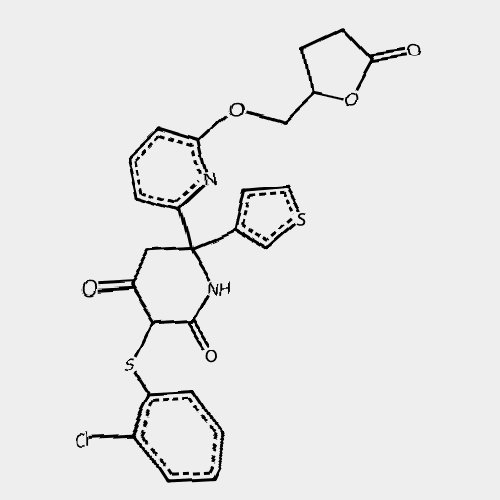 O=C1CCC(COc2cccc(C3(c4ccsc4)CC(=O)C(Sc4ccccc4Cl)C(=O)N3)n2)O1